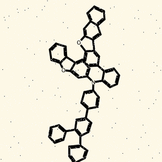 c1ccc(-c2ccc(-c3ccc(N(c4ccc5c(c4)oc4ccccc45)c4ccccc4-c4ccc5oc6cc7ccccc7cc6c5c4)cc3)cc2-c2ccccc2)cc1